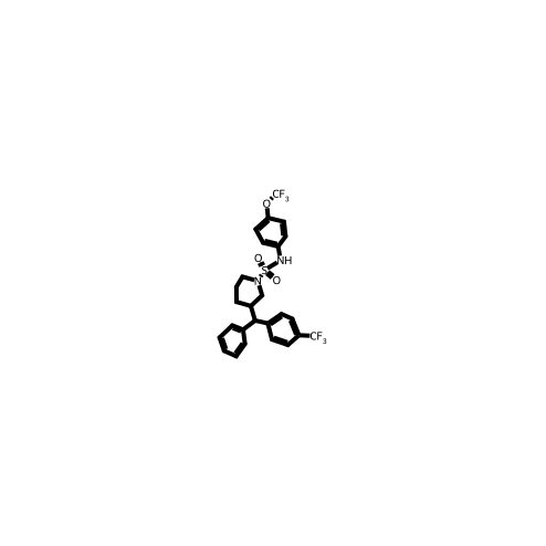 O=S(=O)(Nc1ccc(OC(F)(F)F)cc1)N1CCCC(C(c2ccccc2)c2ccc(C(F)(F)F)cc2)C1